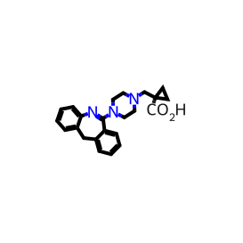 O=C(O)C1(CN2CCN(C3=Nc4ccccc4Cc4ccccc43)CC2)CC1